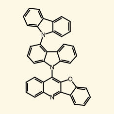 c1ccc2c(-n3c4ccccc4c4c(-n5c6ccccc6c6ccccc65)cccc43)c3oc4ccccc4c3nc2c1